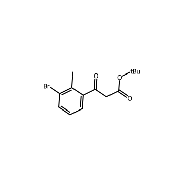 CC(C)(C)OC(=O)CC(=O)c1cccc(Br)c1I